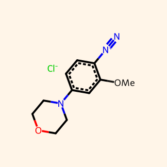 COc1cc(N2CCOCC2)ccc1[N+]#N.[Cl-]